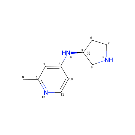 Cc1cc(N[C@H]2CCNC2)ccn1